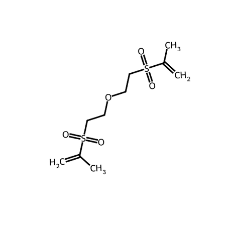 C=C(C)S(=O)(=O)CCOCCS(=O)(=O)C(=C)C